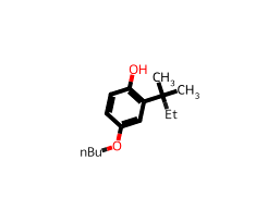 CCCCOc1ccc(O)c(C(C)(C)CC)c1